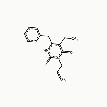 C=CCn1c(=O)[nH]c(Cc2ccccc2)c(CC)c1=O